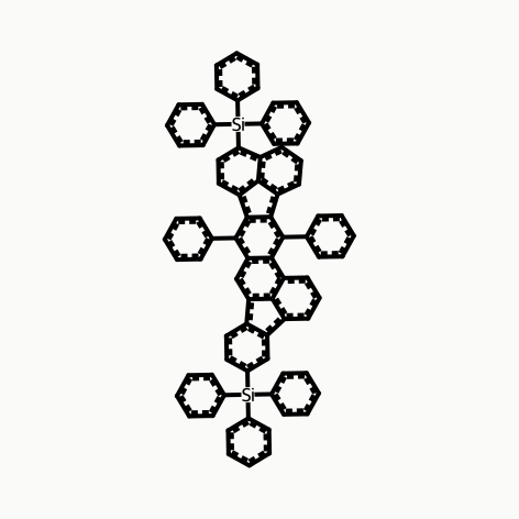 c1ccc(-c2c3cc4c5ccc([Si](c6ccccc6)(c6ccccc6)c6ccccc6)cc5c5cccc(c3c(-c3ccccc3)c3c6cccc7c([Si](c8ccccc8)(c8ccccc8)c8ccccc8)ccc(c23)c76)c54)cc1